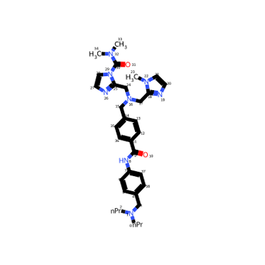 CCCN(CCC)Cc1ccc(NC(=O)c2ccc(CN(Cc3nccn3C)Cc3nccn3C(=O)N(C)C)cc2)cc1